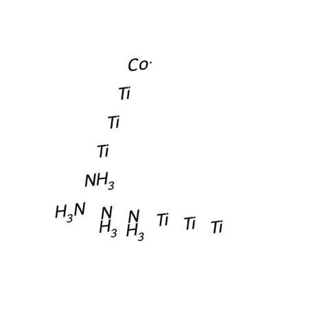 N.N.N.N.[Co].[Ti].[Ti].[Ti].[Ti].[Ti].[Ti]